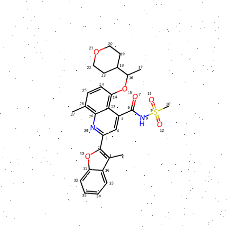 Cc1c(-c2cc(C(=O)NS(C)(=O)=O)c3c(OC(C)C4CCOCC4)ccc(C)c3n2)oc2ccccc12